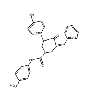 O=C(O)c1ccc(NC(=O)N2C/C(=C/c3ccccn3)C(=O)C(c3ccc(O)cc3)C2)cc1